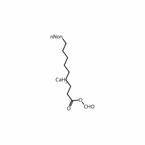 CCCCCCCCCCCCCCCCCC(=O)OC=O.[CaH2]